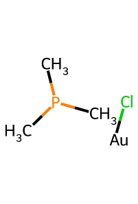 CP(C)C.[Cl][Au]